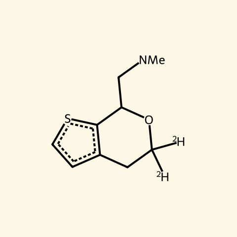 [2H]C1([2H])Cc2ccsc2C(CNC)O1